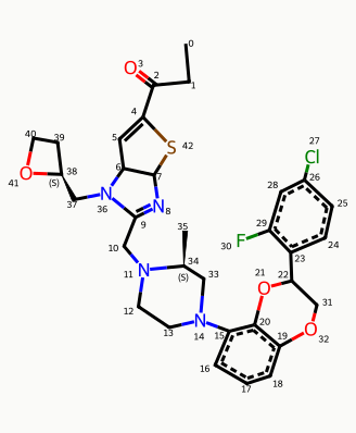 CCC(=O)C1=CC2C(N=C(CN3CCN(c4cccc5c4OC(c4ccc(Cl)cc4F)CO5)C[C@@H]3C)N2C[C@@H]2CCO2)S1